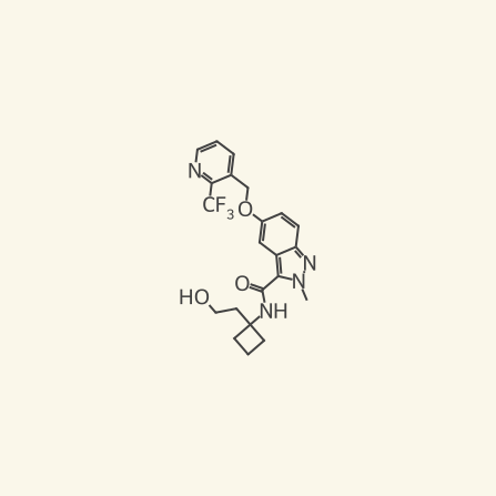 Cn1nc2ccc(OCc3cccnc3C(F)(F)F)cc2c1C(=O)NC1(CCO)CCC1